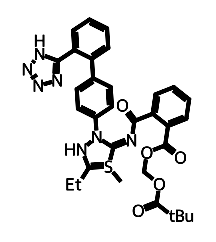 CCC1=S(C)C(=NC(=O)c2ccccc2C(=O)OCOC(=O)C(C)(C)C)N(c2ccc(-c3ccccc3-c3nnn[nH]3)cc2)N1